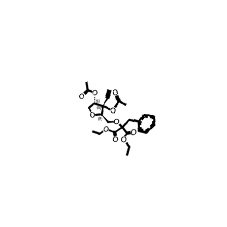 C#C[C@]1(OC(C)=O)[C@@H](OC(C)=O)CO[C@@H]1COC(Cc1ccccc1)(C(=O)OCC)C(=O)OCC